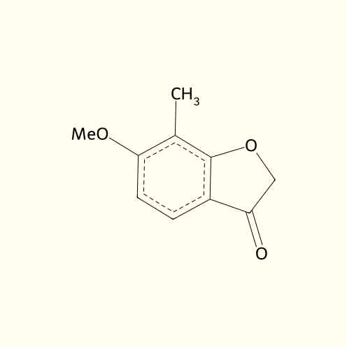 COc1ccc2c(c1C)OCC2=O